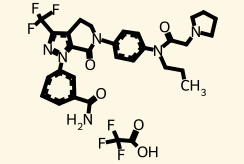 CCCN(C(=O)CN1CCCC1)c1ccc(N2CCc3c(C(F)(F)F)nn(-c4cccc(C(N)=O)c4)c3C2=O)cc1.O=C(O)C(F)(F)F